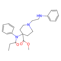 CCC(=O)N(c1ccccc1)C1(C(=O)OC)CCN(CCNc2ccccc2)CC1